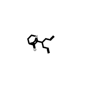 C=CCC(CC=C)C1C(=O)C2CCN1CC2